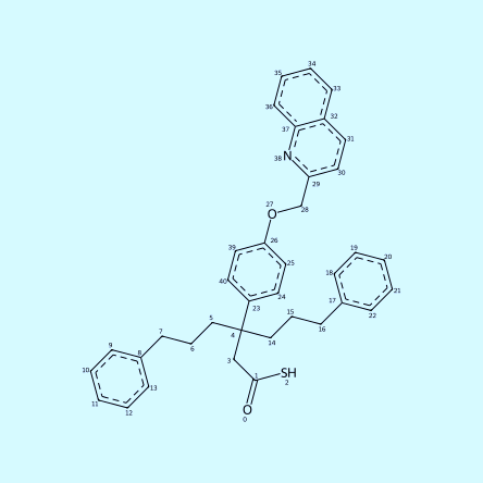 O=C(S)CC(CCCc1ccccc1)(CCCc1ccccc1)c1ccc(OCc2ccc3ccccc3n2)cc1